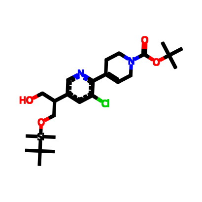 CC(C)(C)OC(=O)N1CC=C(c2ncc(C(CO)CO[Si](C)(C)C(C)(C)C)cc2Cl)CC1